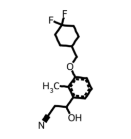 Cc1c(OCC2CCC(F)(F)CC2)cccc1C(O)CC#N